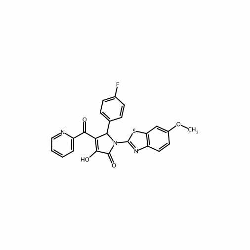 COc1ccc2nc(N3C(=O)C(O)=C(C(=O)c4ccccn4)C3c3ccc(F)cc3)sc2c1